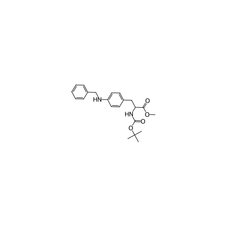 COC(=O)C(Cc1ccc(NCc2ccccc2)cc1)NC(=O)OC(C)(C)C